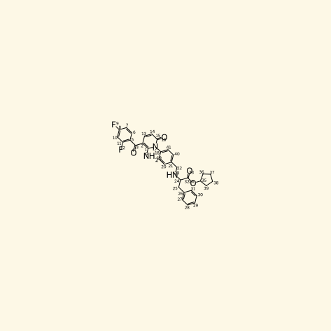 Nc1c(C(=O)c2ccc(F)cc2F)ccc(=O)n1-c1ccc(CNC(Cc2ccccc2)C(=O)OC2CCCC2)cc1